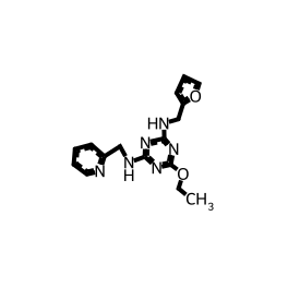 CCOc1nc(NCc2ccccn2)nc(NCc2ccco2)n1